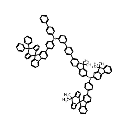 CC1(C)c2ccccc2-c2ccc(N(c3ccc(-c4ccc5c(c4)C4(c6ccccc6-5)c5ccccc5C(C)(C)c5ccccc54)cc3)c3ccc4c(c3)C(C)(C)c3cc(-c5ccc(-c6cccc(N(c7ccc(-c8ccccc8)cc7)c7ccc(-c8ccc9c(c8)C8(c%10ccccc%10-9)c9ccccc9C(c9ccccc9)(c9ccccc9)c9ccccc98)cc7)c6)cc5)ccc3-4)cc21